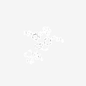 COc1cc2c(cc1OC(C)C)-n1c(-c3cn(C)cn3)nc(C(=O)N3CCOCC3(C)C)c1CC2